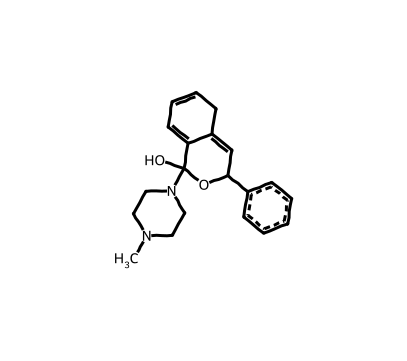 CN1CCN(C2(O)OC(c3ccccc3)C=C3CC=CC=C32)CC1